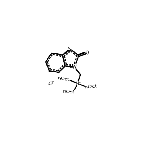 CCCCCCCC[N+](CCCCCCCC)(CCCCCCCC)Cn1c(=O)sc2ccccc21.[Cl-]